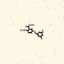 COC(=O)c1cc(OCc2cc(F)cc(F)c2)ccc1NC(C)=O